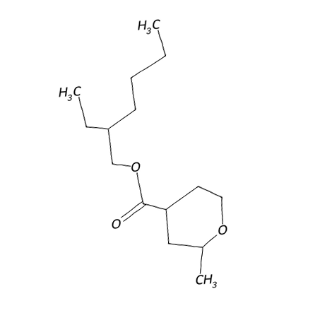 CCCCC(CC)COC(=O)C1CCOC(C)C1